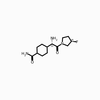 NC(=O)C1CCC([C@H](N)C(=O)N2CC[C@@H](F)C2)CC1